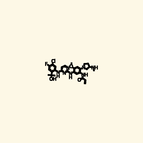 C=CC(=O)Nc1cc(Nc2nccc(Nc3cc(Cl)c(F)cc3C(C)(C)O)n2)c(OC)cc1N1CCC(NC)C1